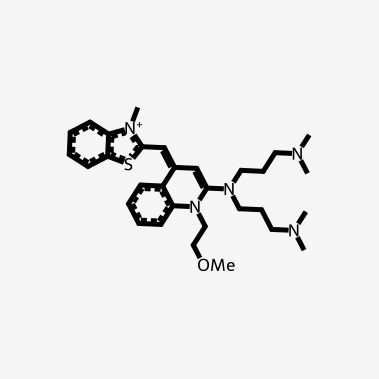 COCCN1C(N(CCCN(C)C)CCCN(C)C)=C/C(=C/c2sc3ccccc3[n+]2C)c2ccccc21